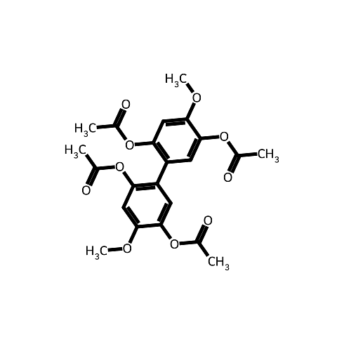 COc1cc(OC(C)=O)c(-c2cc(OC(C)=O)c(OC)cc2OC(C)=O)cc1OC(C)=O